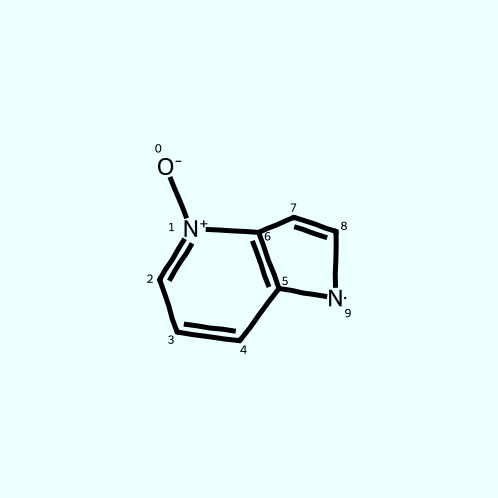 [O-][n+]1cccc2c1C=C[N]2